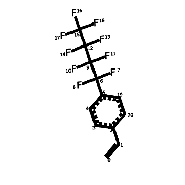 C=Cc1ccc(C(F)(F)C(F)(F)C(F)(F)C(F)(F)F)cc1